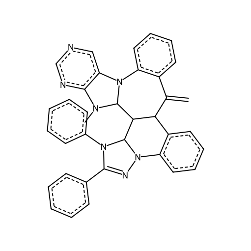 C=C1c2ccccc2N2c3cncnc3N(C)C2C2C1c1ccccc1N1N=C(c3ccccc3)N(c3ccccc3)C21